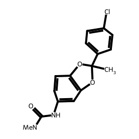 CNC(=O)Nc1ccc2c(c1)OC(C)(c1ccc(Cl)cc1)O2